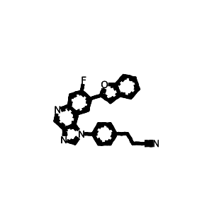 N#CCCc1ccc(-n2cnc3cnc4cc(F)c(-c5cc6ccccc6o5)cc4c32)cc1